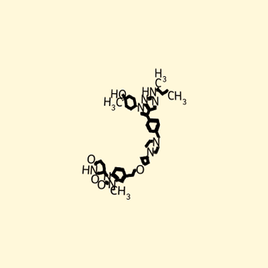 CCC[C@H](C)Nc1ncc2c(-c3ccc(CN4CCN(C5CC(OCCc6ccc7c(c6)n(C)c(=O)n7C6CCC(=O)NC6=O)C5)CC4)cc3)cn([C@H]3CC[C@](C)(O)CC3)c2n1